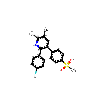 CS(=O)(=O)c1ccc(-c2cc(C#N)c(C(F)(F)F)nc2-c2ccc(F)cc2)cc1